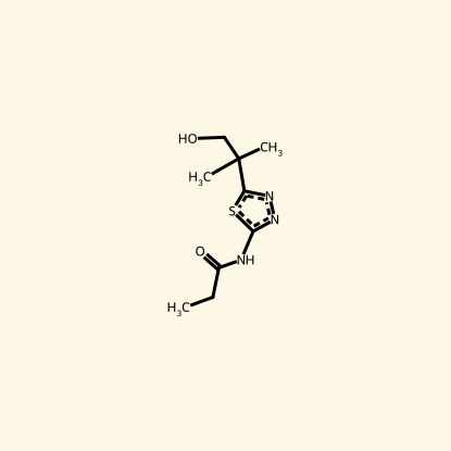 CCC(=O)Nc1nnc(C(C)(C)CO)s1